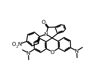 CN(C)c1ccc2c(c1)Oc1cc(N(C)C)ccc1C21c2ccccc2C(=O)N1c1ccc([N+](=O)[O-])cc1